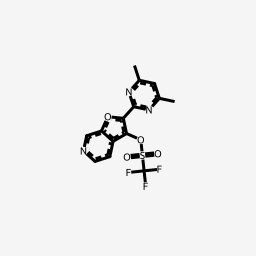 Cc1cc(C)nc(-c2oc3cnccc3c2OS(=O)(=O)C(F)(F)F)n1